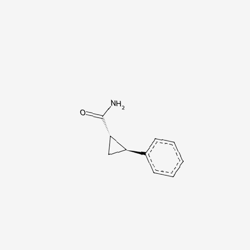 NC(=O)[C@H]1C[C@@H]1c1ccccc1